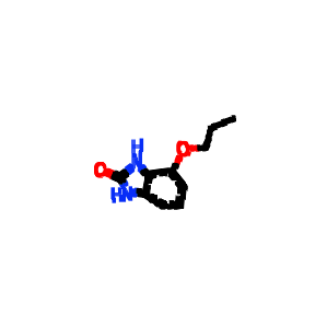 CCCOc1cccc2[nH]c(=O)[nH]c12